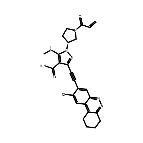 C=CC(=O)N1CC[C@H](n2nc(C#Cc3cc4nnc5c(c4cc3Cl)CCCC5)c(C(N)=O)c2NC)C1